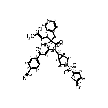 CC(Cl)=CCC1(Cc2ccncc2)NC(=CC(=O)c2ccc(C#N)cc2)N(C2C3CN(S(=O)(=O)c4ccc(Br)s4)CC32)C1=O